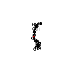 O=C1CCC(N2C(=O)c3cccc(N4CCN(CCC(=O)N5CCC(c6ccc(C(=O)Nc7ccc8[nH]c(CN9CCCC9)nc8c7)cc6)CC5)CC4)c3C2=O)C(=O)N1